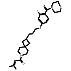 CC(C)=CC(=O)N1CCC2(CC1)CC(CCCOc1ccc(C(=O)N3CCOCC3)c(F)c1)C2